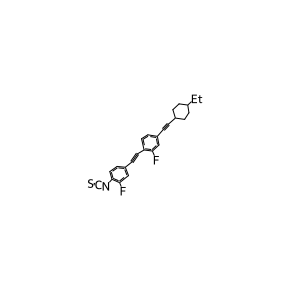 CCC1CCC(C#Cc2ccc(C#Cc3ccc(N=C=S)c(F)c3)c(F)c2)CC1